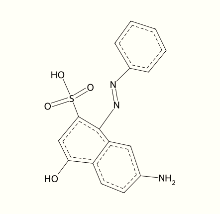 Nc1ccc2c(O)cc(S(=O)(=O)O)c(/N=N/c3ccccc3)c2c1